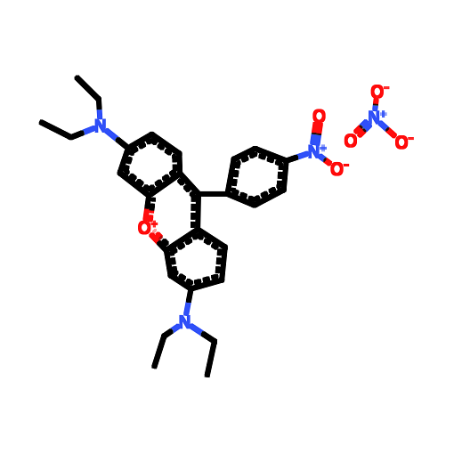 CCN(CC)c1ccc2c(-c3ccc([N+](=O)[O-])cc3)c3ccc(N(CC)CC)cc3[o+]c2c1.O=[N+]([O-])[O-]